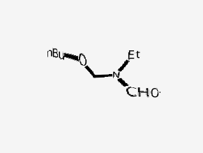 CCCCOCN([C]=O)CC